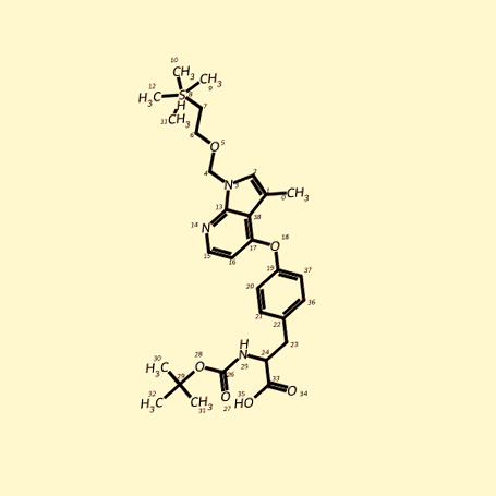 Cc1cn(COCC[SH](C)(C)(C)C)c2nccc(Oc3ccc(CC(NC(=O)OC(C)(C)C)C(=O)O)cc3)c12